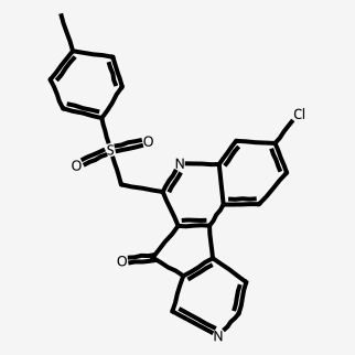 Cc1ccc(S(=O)(=O)Cc2nc3cc(Cl)ccc3c3c2C(=O)c2cnccc2-3)cc1